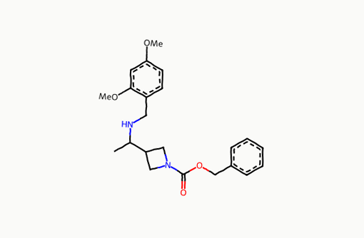 COc1ccc(CNC(C)C2CN(C(=O)OCc3ccccc3)C2)c(OC)c1